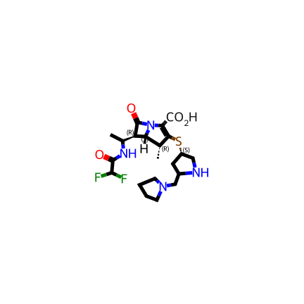 CC(NC(=O)C(F)F)[C@H]1C(=O)N2C(C(=O)O)=C(S[C@@H]3CNC(CN4CCCC4)C3)[C@H](C)[C@H]12